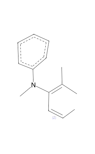 C/C=C\C(=C(C)C)N(C)c1ccccc1